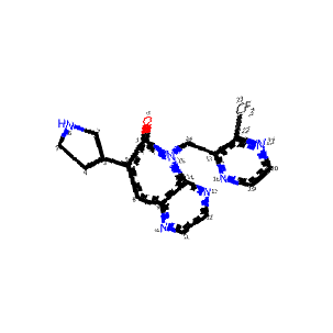 O=c1c(C2CCNC2)cc2nccnc2n1Cc1nccnc1C(F)(F)F